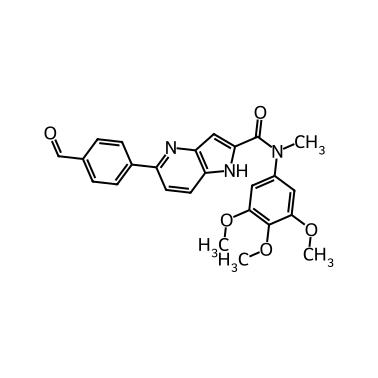 COc1cc(N(C)C(=O)c2cc3nc(-c4ccc(C=O)cc4)ccc3[nH]2)cc(OC)c1OC